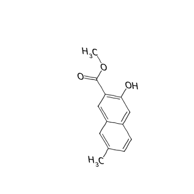 COC(=O)c1cc2cc(C)ccc2cc1O